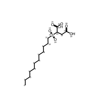 CCCCCCCCCCCCS(=O)(=O)C(CC(=O)O)C(=O)O